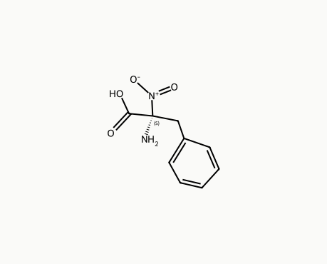 N[C@](Cc1ccccc1)(C(=O)O)[N+](=O)[O-]